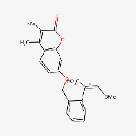 CCCCc1c(C)c2ccc(OCc3ccccc3/C(=C\OC)C(=O)O)cc2oc1=O